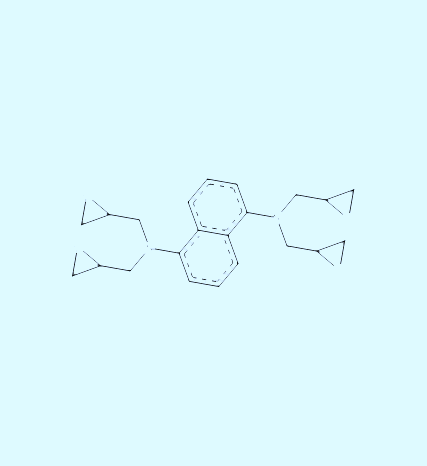 c1cc(N(CC2CO2)CC2CO2)c2cccc(N(CC3CO3)CC3CO3)c2c1